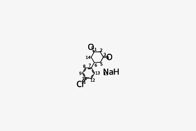 O=C1CC(=O)CC(c2ccc(Cl)cc2)C1.[NaH]